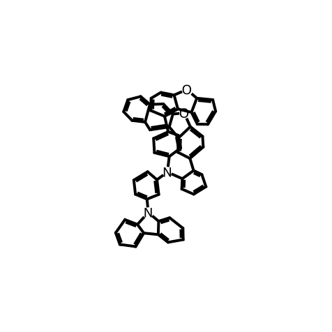 c1cc(N(c2ccc(-c3cccc4oc5ccccc5c34)cc2)c2ccccc2-c2ccc3oc4cc5ccccc5cc4c3c2)cc(-n2c3ccccc3c3ccccc32)c1